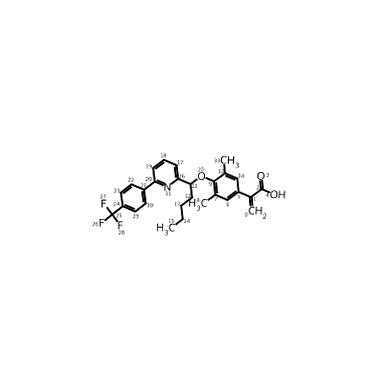 C=C(C(=O)O)c1cc(C)c(OC(CCCC)c2cccc(-c3ccc(C(F)(F)F)cc3)n2)c(C)c1